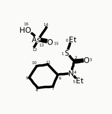 CCSC(=O)N(CC)C1CCCCC1.C[As](C)(=O)O